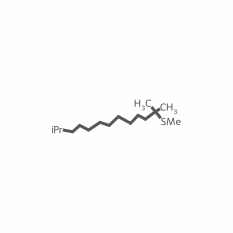 CSC(C)(C)CCCCCCCCCC(C)C